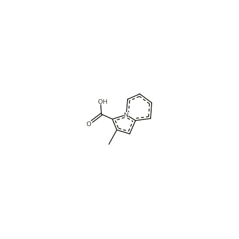 Cc1cc2ccccn2c1C(=O)O